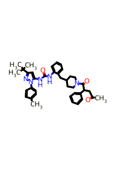 CC(=O)CC(C(=O)N1CCC(Cc2ccccc2NC(=O)Nc2cc(C(C)(C)C)nn2-c2ccc(C)cc2)CC1)c1ccccc1